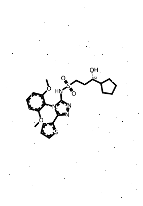 COc1cccc(OC)c1-n1c(NS(=O)(=O)CC[C@H](O)C2CCCC2)nnc1-c1cccs1